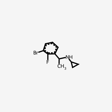 CC(NC1CC1)c1cccc(Br)c1F